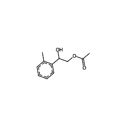 CC(=O)OCC(O)c1ccccc1C